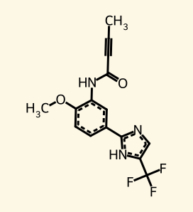 CC#CC(=O)Nc1cc(-c2ncc(C(F)(F)F)[nH]2)ccc1OC